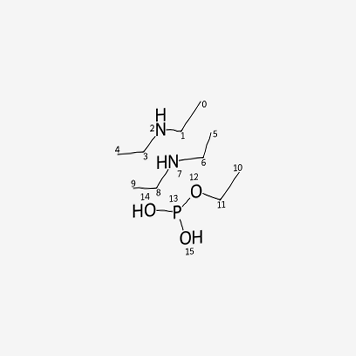 CCNCC.CCNCC.CCOP(O)O